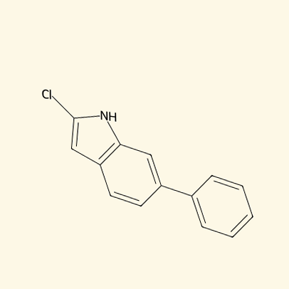 Clc1cc2ccc(-c3ccccc3)cc2[nH]1